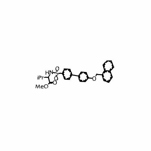 COC(=O)C(NS(=O)(=O)c1ccc(-c2ccc(OCc3cccc4ccccc34)cc2)cc1)C(C)C